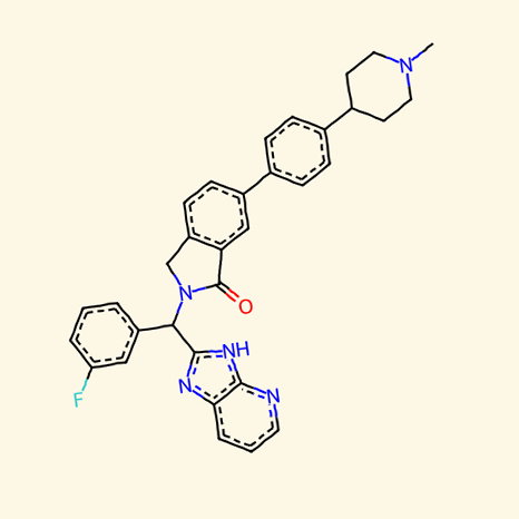 CN1CCC(c2ccc(-c3ccc4c(c3)C(=O)N(C(c3cccc(F)c3)c3nc5cccnc5[nH]3)C4)cc2)CC1